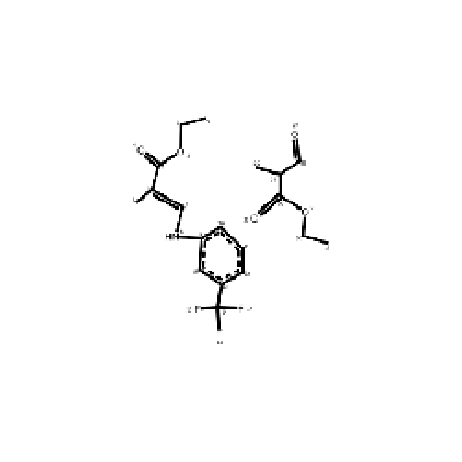 CCOC(=O)/C(C)=C/Nc1cccc(C(F)(F)F)c1.CCOC(=O)C(C)C=O